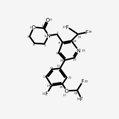 O=C1OCCCN1Cc1cc(-c2ccc(F)c(OC(F)F)c2)cnc1C(F)F